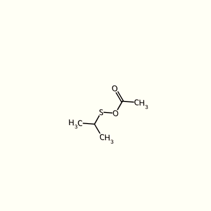 CC(=O)OSC(C)C